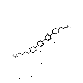 CCCCCC1CCC(c2ccc(-c3ccc(C4=CCC(CCC)CC4)cc3)cc2)CC1